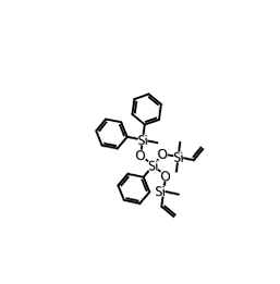 C=C[Si](C)(C)O[Si](O[Si](C)(C)C=C)(O[Si](C)(c1ccccc1)c1ccccc1)c1ccccc1